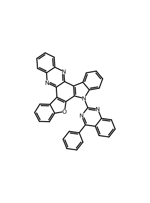 c1ccc(-c2nc(-n3c4ccccc4c4c5nc6ccccc6nc5c5c6ccccc6oc5c43)nc3ccccc23)cc1